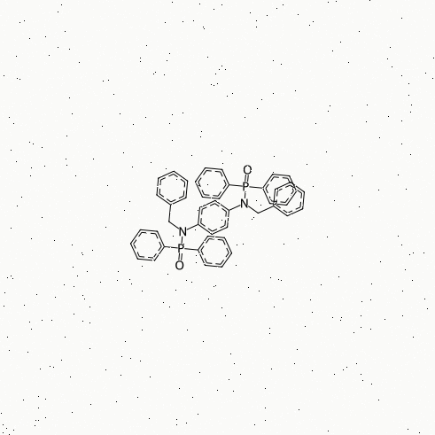 O=P(c1ccccc1)(c1ccccc1)N(Cc1ccccc1)c1ccc(N(Cc2ccccc2)P(=O)(c2ccccc2)c2ccccc2)cc1